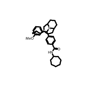 C=CCN1CCC2CCCC(C1)N2C(c1ccc(C(=O)NC2CCCCCC2)cc1)c1cccc(OC)c1